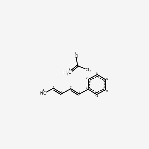 C=C(Cl)Cl.N#CC=CC=Cc1ccccc1